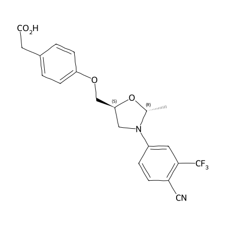 C[C@H]1O[C@H](COc2ccc(CC(=O)O)cc2)CN1c1ccc(C#N)c(C(F)(F)F)c1